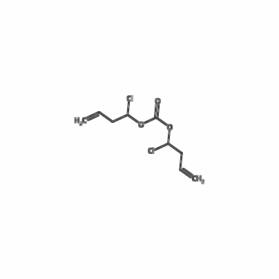 C=CCC(Cl)OC(=O)OC(Cl)CC=C